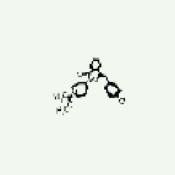 COC(C)N1CCCC(n2nc(Cc3ccc(Cl)cc3)c3ccccc3c2=O)CC1